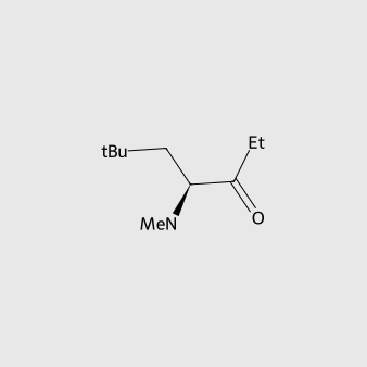 CCC(=O)[C@H](CC(C)(C)C)NC